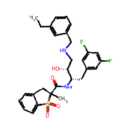 CCc1cccc(CNC[C@@H](O)[C@H](Cc2cc(F)cc(F)c2)NC(=O)C2(C)Cc3ccccc3S2(=O)=O)c1